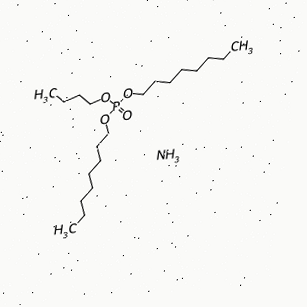 CCCCCCCCOP(=O)(OCCCC)OCCCCCCCC.N